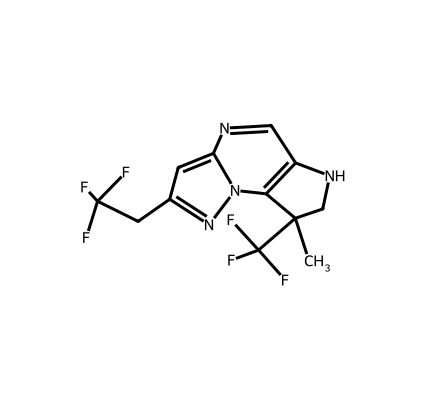 CC1(C(F)(F)F)CNc2cnc3cc(CC(F)(F)F)nn3c21